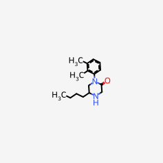 CCCCC1CN(c2cccc(C)c2C)C(=O)CN1